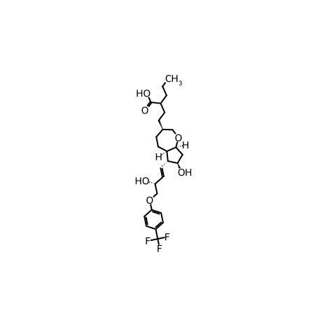 CCCC(CC[C@@H]1CC[C@@H]2[C@@H](/C=C/[C@@H](O)COc3ccc(C(F)(F)F)cc3)[C@H](O)C[C@@H]2OC1)C(=O)O